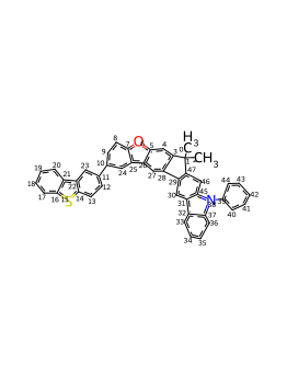 CC1(C)c2cc3oc4ccc(-c5ccc6sc7ccccc7c6c5)cc4c3cc2-c2cc3c4ccccc4n(-c4ccccc4)c3cc21